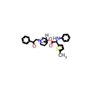 Cc1ccc(C(Nc2ccccc2)C(=O)O[C@H]2C[N+]3(CC(=O)c4ccccc4)CCC2CC3)s1